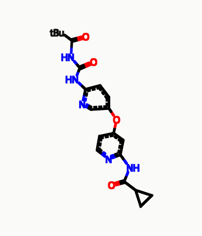 CC(C)(C)C(=O)NC(=O)Nc1ccc(Oc2ccnc(NC(=O)C3CC3)c2)cn1